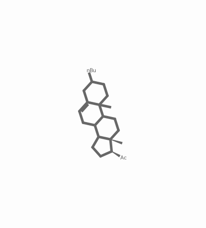 CCCCC1CCC2(C)C(=CCC3C2CC[C@@]2(C)C3CC[C@@H]2C(C)=O)C1